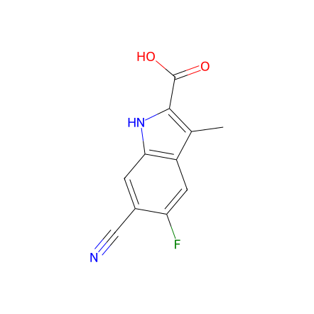 Cc1c(C(=O)O)[nH]c2cc(C#N)c(F)cc12